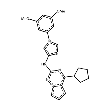 COc1cc(OC)cc(-n2cnc(Nc3nc(C4CCCC4)c4cccn4n3)c2)c1